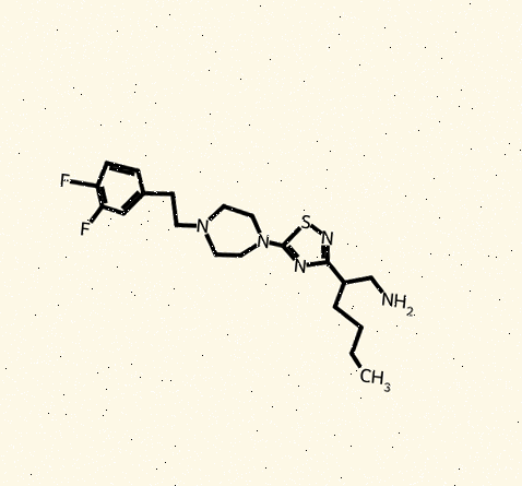 CCCCC(CN)c1nsc(N2CCN(CCc3ccc(F)c(F)c3)CC2)n1